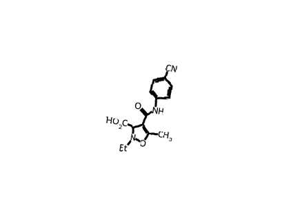 CCN1OC(C)=C(C(=O)Nc2ccc(C#N)cc2)C1C(=O)O